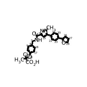 Cn1nc(C(=O)NCc2ccc(OC(C)(C)C(=O)O)cc2)cc1-c1ccc(-c2ccco2)cc1